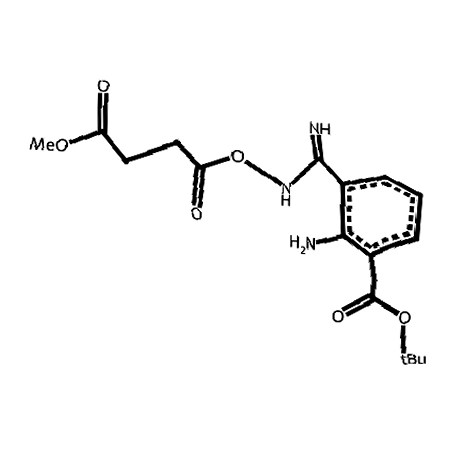 COC(=O)CCC(=O)ONC(=N)c1cccc(C(=O)OC(C)(C)C)c1N